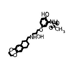 CS(=O)(=O)Nc1cc(OC[C@@H](O)CNCC2CCc3cc4c(cc3C2)OCCO4)ccc1O